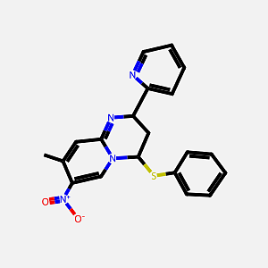 CC1=CC2=NC(c3ccccn3)CC(Sc3ccccc3)N2C=C1[N+](=O)[O-]